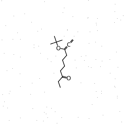 C=C=C(CCCCC(=O)CC)OC(C)(C)C